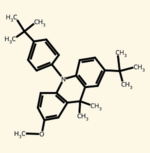 COc1ccc2c(c1)C(C)(C)c1cc(C(C)(C)C)ccc1N2c1ccc(C(C)(C)C)cc1